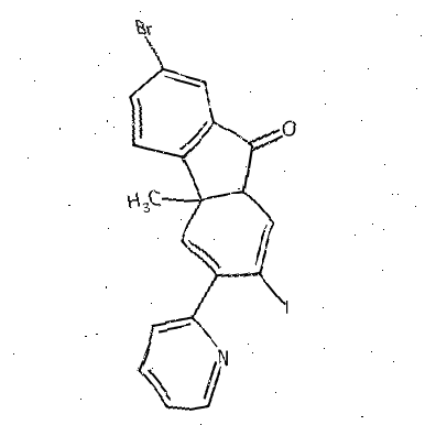 CC12C=C(c3ccccn3)C(I)=CC1C(=O)c1cc(Br)ccc12